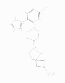 CCOC(=O)N1CC2(CC[C@@H](N3CCC(c4cc(F)cnc4-c4nncs4)CC3)C2)C1